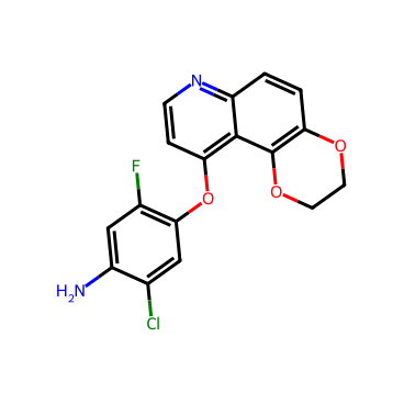 Nc1cc(F)c(Oc2ccnc3ccc4c(c23)OCCO4)cc1Cl